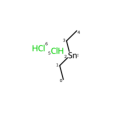 C[CH2][Sn][CH2]C.Cl.Cl